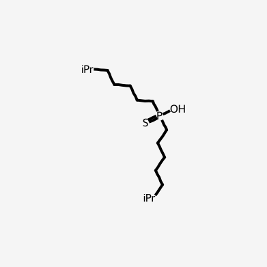 CC(C)CCCCCP(O)(=S)CCCCCC(C)C